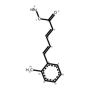 CCCCOC(=O)C=CC=Cc1ccccc1C